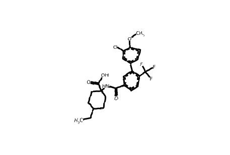 CCC1CCC(NC(=O)c2ccc(C(F)(F)F)c(-c3ccc(OC)c(Cl)c3)c2)(C(=O)O)CC1